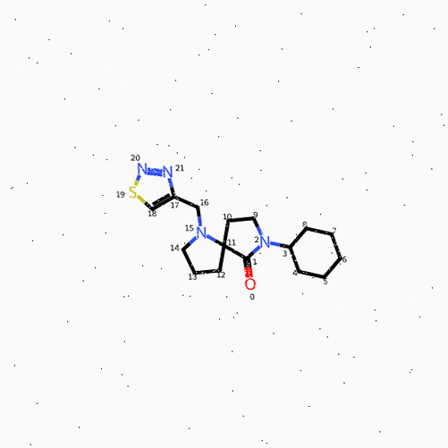 O=C1N(C2CCCCC2)CCC12CCCN2Cc1csnn1